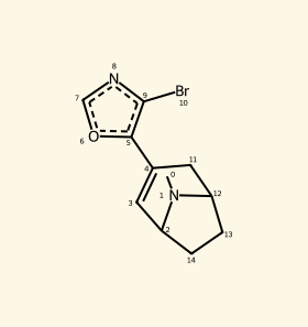 CN1C2C=C(c3ocnc3Br)CC1CC2